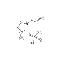 C=CCN1CCN(C)C1.CS(=O)(=O)O